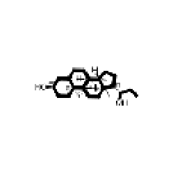 CCC(O)[C@H]1CC[C@H]2[C@@H]3CCC4C[C@H](O)CC[C@]4(C)[C@H]3CC[C@]12C